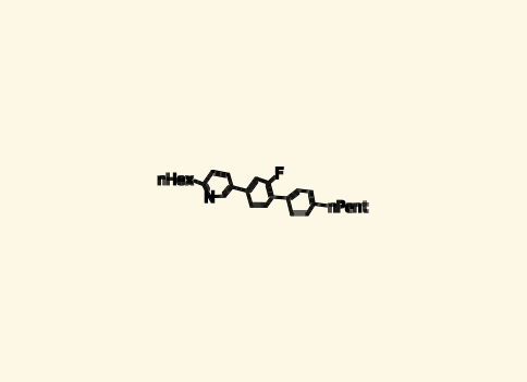 CCCCCCc1ccc(-c2ccc(-c3ccc(CCCCC)cc3)c(F)c2)cn1